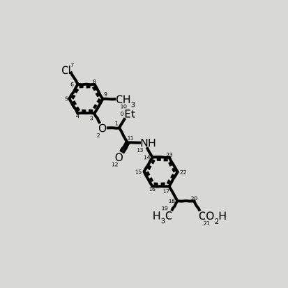 CCC(Oc1ccc(Cl)cc1C)C(=O)Nc1ccc(C(C)CC(=O)O)cc1